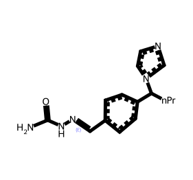 CCCC(c1ccc(/C=N/NC(N)=O)cc1)n1ccnc1